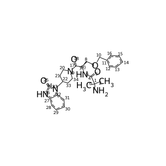 CC(C)(N)C(=O)N[C@H](COCc1ccccc1)C(=O)N1CCC(n2c(=O)[nH]c3ccccc32)CC1